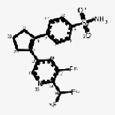 NS(=O)(=O)c1ccc(C2=C(c3cnc(C(F)F)c(F)c3)CCC2)cc1